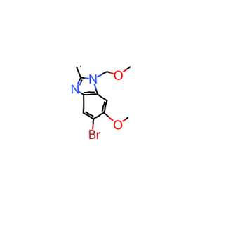 [CH2]c1nc2cc(Br)c(OC)cc2n1COC